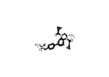 C[C@H]1CN(C(=O)C2CC2)c2cc(-c3ccc(CS(N)(=O)=O)cc3)ccc2N1C(=O)C1CC1